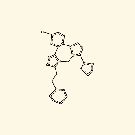 Clc1ccc2c(c1)-c1nnc(COc3ccccc3)n1Cc1c(-c3ncco3)ncn1-2